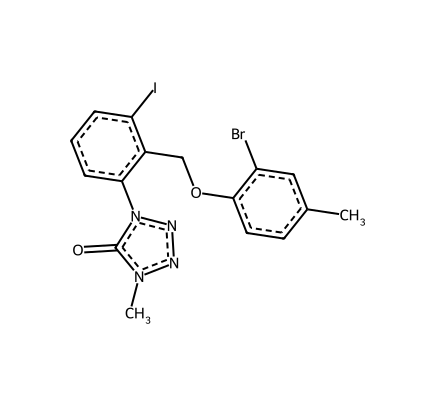 Cc1ccc(OCc2c(I)cccc2-n2nnn(C)c2=O)c(Br)c1